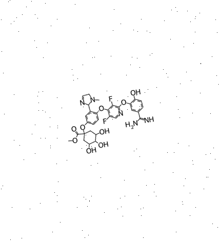 COC(=O)C1(Oc2ccc(Oc3c(F)cnc(Oc4cc(C(=N)N)ccc4O)c3F)c(C3N=CCN3C)c2)CC(O)C(O)C(O)C1